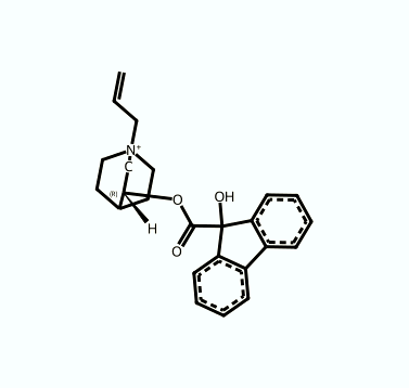 C=CC[N+]12CCC(CC1)[C@@H](OC(=O)C1(O)c3ccccc3-c3ccccc31)C2